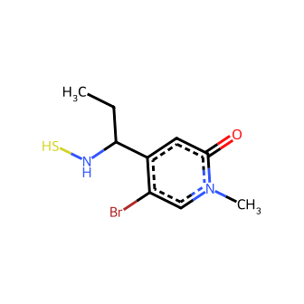 CCC(NS)c1cc(=O)n(C)cc1Br